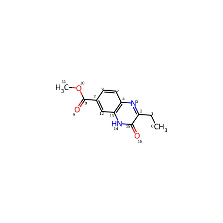 CCc1nc2ccc(C(=O)OC)cc2[nH]c1=O